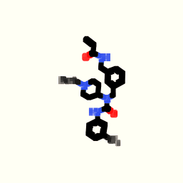 C=CC(=O)NCc1cccc(CN(C(=O)Nc2cccc(C(F)(F)F)c2)C2CCN(C(C)CCC)CC2)c1